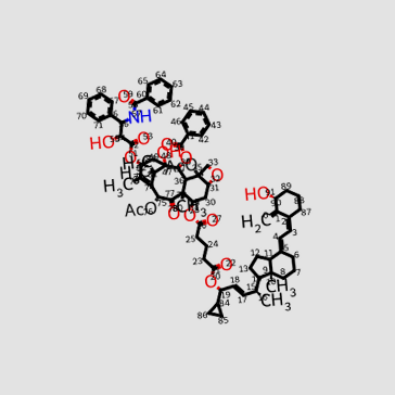 C=C1/C(=C\C=C2/CCC[C@@]3(C)C2CCC3[C@@H](C)/C=C/C(OC(=O)CCCC(=O)OC2CC3OCC3(OC(C)=O)C3C(OC(=O)c4ccccc4)C4(O)CC(OC(=O)C(O)C(NC(=O)c5ccccc5)c5ccccc5)C(C)=C(C(OC(C)=O)C(=O)C23C)C4(C)C)C2CC2)CCC[C@@H]1O